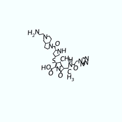 C[C@H]1C(S[C@@H]2CN[C@H](C(=O)N3CCC4CN(CCN)CCC43)C2)=C(C(=O)O)N2C(=O)[C@H]([C@@H](C)NC(=O)Cn3cnnn3)C12